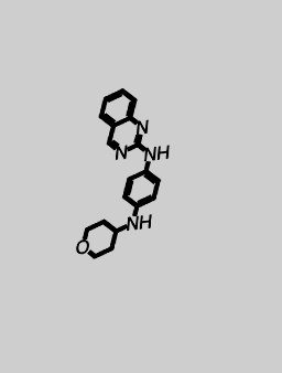 c1ccc2nc(Nc3ccc(NC4CCOCC4)cc3)ncc2c1